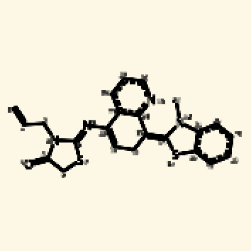 C=CCN1C(=O)CSC1=NC1=CCC(=C2Sc3ccccc3N2C)c2ncccc21